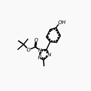 Cc1nc(-c2ccc(O)cc2)n(C(=O)OC(C)(C)C)n1